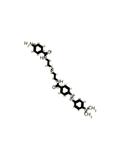 CN(C)c1ccc(/N=N/c2ccc(C(=O)NCCSSCCNC(=O)c3ccc(N)cc3)cc2)cc1